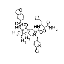 CC(C)(C)[C@H](NS(=O)(=O)c1ccc2c(c1)CCO2)C(=O)N1CCN(Cc2ccc(Cl)nc2)[C@@H](C(=O)NC(CC2CCC2)C(=O)C(N)=O)C1